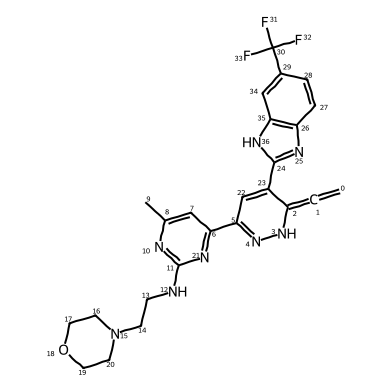 C=C=C1NN=C(c2cc(C)nc(NCCN3CCOCC3)n2)C=C1c1nc2ccc(C(F)(F)F)cc2[nH]1